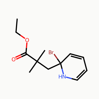 CCOC(=O)C(C)(C)CC1(Br)C=CC=CN1